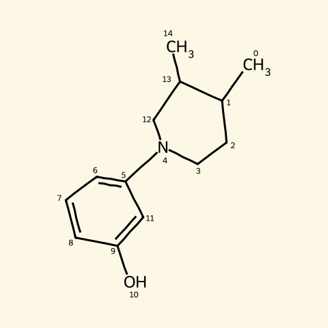 CC1CCN(c2cccc(O)c2)CC1C